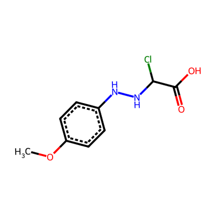 COc1ccc(NNC(Cl)C(=O)O)cc1